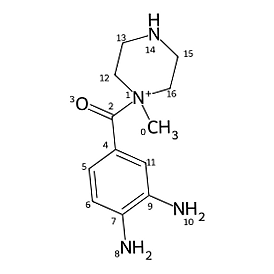 C[N+]1(C(=O)c2ccc(N)c(N)c2)CCNCC1